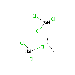 CCC.Cl[SiH](Cl)Cl.Cl[SiH](Cl)Cl